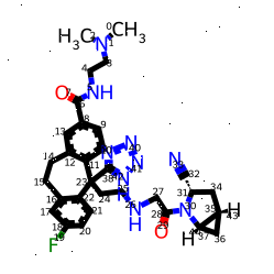 CN(C)CCNC(=O)c1ccc2c(c1)CCc1cc(F)ccc1C2(CCNCC(=O)N1[C@H](C#N)C[C@@H]2C[C@@H]21)c1nnn[nH]1